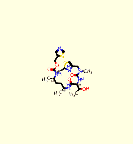 CC(C)C1NC(CN(C)C(=O)N[C@H](C(=O)N[C@@H](C)CC[C@H](C)NC(=O)OCc2cncs2)C(C)O)=CS1